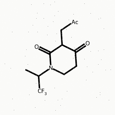 CC(=O)CC1C(=O)CCN(C(C)C(F)(F)F)C1=O